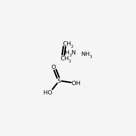 C=C.N.N.O=S(O)O